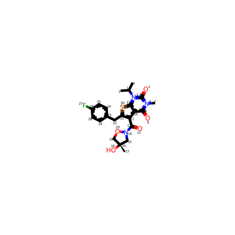 CC(C)n1c(=O)n(C)c(=O)c2c(C(=O)N3C[C@](C)(O)CO3)c(Cc3ccc(F)cc3)sc21